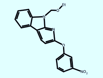 CCOCn1c2ccccc2c2ccc(Oc3cccc([N+](=O)[O-])c3)nc21